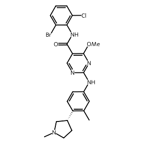 COc1nc(Nc2ccc([C@@H]3CCN(C)C3)c(C)c2)ncc1C(=O)Nc1c(Cl)cccc1Br